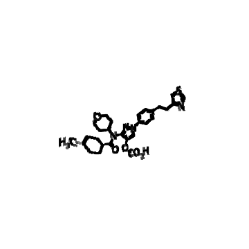 C[C@H]1CC[C@H](C(=O)N(c2nn(-c3ccc(CCc4cscn4)cc3)cc2OC(=O)O)C2CCOCC2)CC1